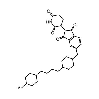 CC(=O)C1CCC(CCCCC2CCC(Cc3ccc4c(c3)C(=O)N(C3CCC(=O)NC3=O)C4=O)CC2)CC1